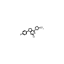 Fc1ccc(C2CCc3c2nc(Cl)nc3N2CCC(C(F)(F)F)C2)cc1